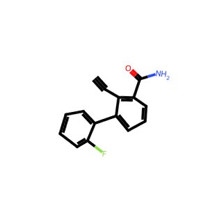 C#Cc1c(C(N)=O)cccc1-c1ccccc1F